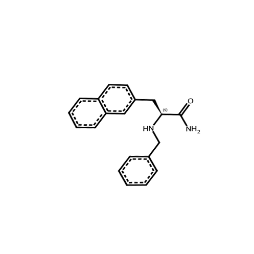 NC(=O)[C@H](Cc1ccc2ccccc2c1)NCc1ccccc1